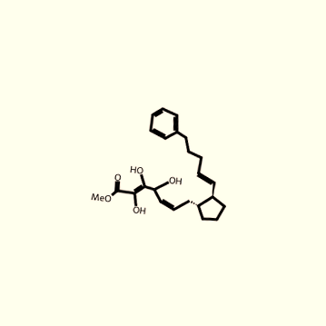 COC(=O)/C(O)=C(\O)C(O)/C=C\C[C@H]1CCC[C@@H]1/C=C/CCCc1ccccc1